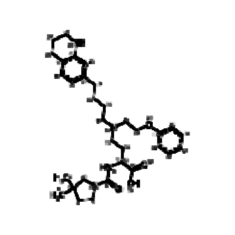 CC1(C)CCN(C(=O)N[C@@H](CCN(CCCCc2ccc3c(n2)NCCC3)CCOc2ccccc2)C(=O)O)C1